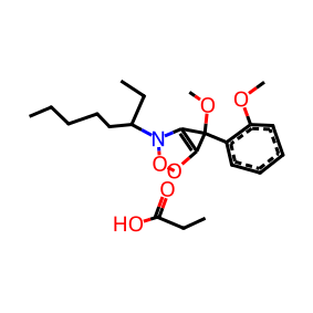 CCC(=O)O.CCCCCC(CC)N1OOC2=C1C2(OC)c1ccccc1OC